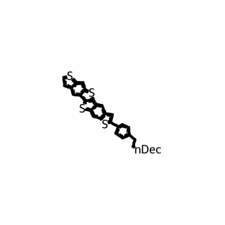 CCCCCCCCCCCCc1ccc(-c2cc3cc4c(cc3s2)sc2c3cc5ccsc5cc3sc42)cc1